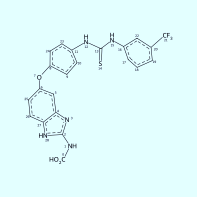 O=C(O)Nc1nc2cc(Oc3ccc(NC(=S)Nc4cccc(C(F)(F)F)c4)cc3)ccc2[nH]1